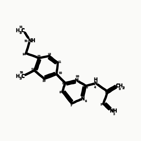 C=C(C=N)Nc1nccc(-c2ccc(CNC)c(C)c2)n1